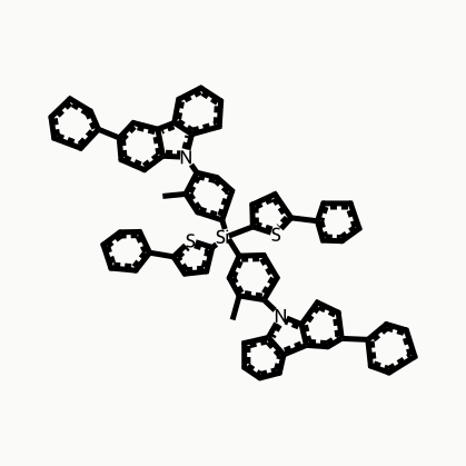 Cc1cc([Si](c2ccc(-n3c4ccccc4c4cc(-c5ccccc5)ccc43)c(C)c2)(c2ccc(-c3ccccc3)s2)c2ccc(-c3ccccc3)s2)ccc1-n1c2ccccc2c2cc(-c3ccccc3)ccc21